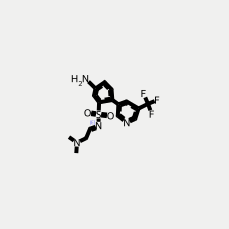 CN(C)C/C=N/S(=O)(=O)c1cc(N)ccc1-c1cncc(C(F)(F)F)c1